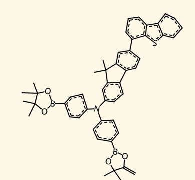 C=C1OB(c2ccc(N(c3ccc(B4OC(C)(C)C(C)(C)O4)cc3)c3ccc4c(c3)C(C)(C)c3cc(-c5cccc6c5sc5ccccc56)ccc3-4)cc2)OC1(C)C